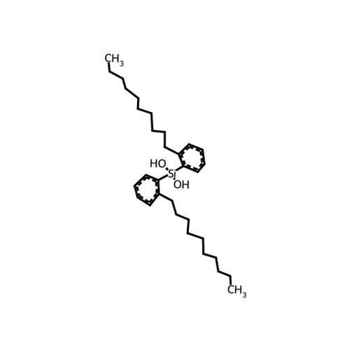 CCCCCCCCCCc1ccccc1[Si](O)(O)c1ccccc1CCCCCCCCCC